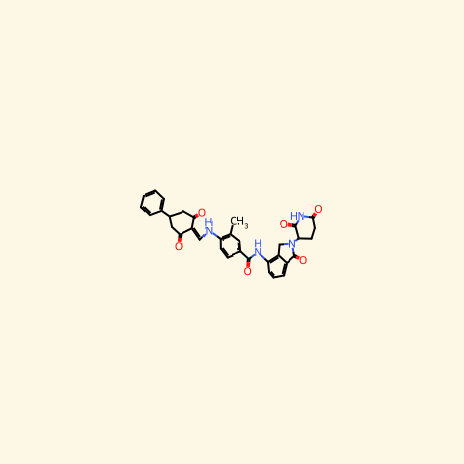 Cc1cc(C(=O)Nc2cccc3c2CN(C2CCC(=O)NC2=O)C3=O)ccc1NC=C1C(=O)CC(c2ccccc2)CC1=O